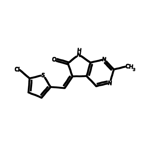 Cc1ncc2c(n1)NC(=O)C2=Cc1ccc(Cl)s1